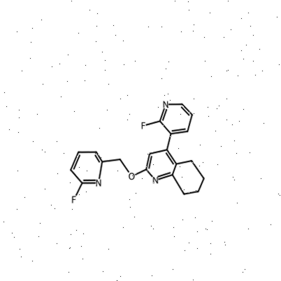 Fc1cccc(COc2cc(-c3cccnc3F)c3c(n2)CCCC3)n1